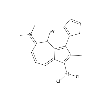 CC1=[C]([Hf]([Cl])[Cl])C2=CC=CC(=[Si](C)C)C(C(C)C)C2=C1C1=CC=CC1